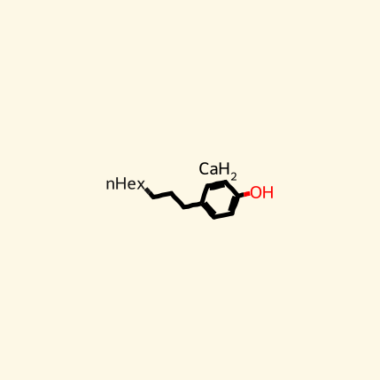 CCCCCCCCCc1ccc(O)cc1.[CaH2]